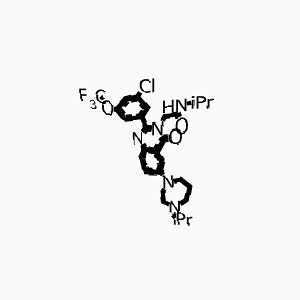 CC(C)NC(=O)Cn1c(-c2cc(Cl)cc(OC(F)(F)F)c2)nc2ccc(N3CCCN(C(C)C)CC3)cc2c1=O